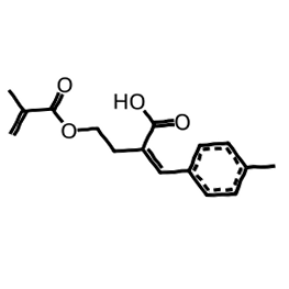 C=C(C)C(=O)OCCC(=Cc1ccc(C)cc1)C(=O)O